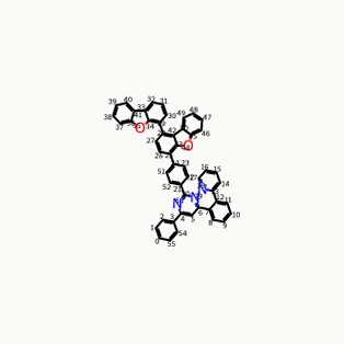 c1ccc(-c2cc(-c3ccccc3-c3ccccn3)nc(-c3ccc(-c4ccc(-c5cccc6c5oc5ccccc56)c5c4oc4ccccc45)cc3)n2)cc1